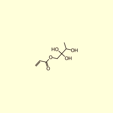 C=CC(=O)OCC(O)(O)C(C)O